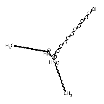 CC#CC#CC#CC#CC#CC#CC#CC#CC(=O)NCC[N+]([O-])(CCCOCCOCCOCCOCCOCCOCCOCCOCCOCCOCCO)CCNC(=O)CCCCCCCCCCCCCCCCC